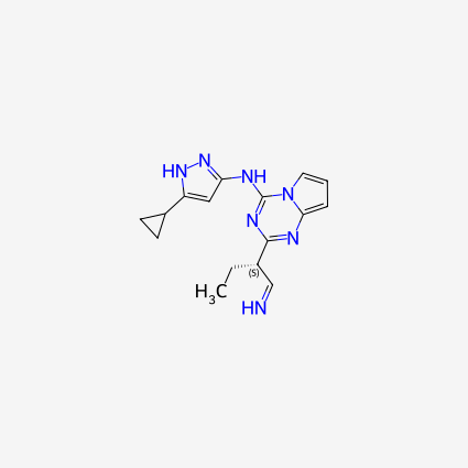 CC[C@@H](C=N)c1nc(Nc2cc(C3CC3)[nH]n2)n2cccc2n1